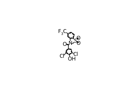 O=C(c1cc(Cl)c(O)c(Cl)c1)N1CS(=O)(=O)c2ccc(C(F)(F)F)cc21